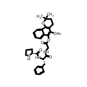 CC(=O)Oc1c2c(c3ccccc3c1OC(=O)CNC(=O)[C@H](Cc1ccccc1)NC(=O)[C@@H]1CCCN1)OC(C)(C)CC2